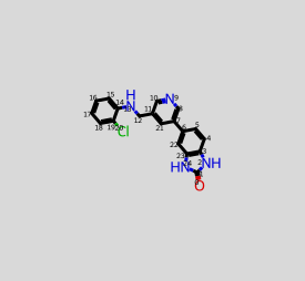 O=c1[nH]c2ccc(-c3cncc(CNc4ccccc4Cl)c3)cc2[nH]1